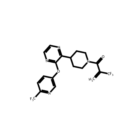 C=C(C(=O)N1CCC(c2nccnc2Oc2ccc(C(F)(F)F)nc2)CC1)C(F)(F)F